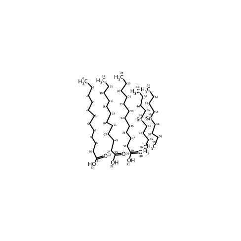 CCCCCCCCCCCC(=O)O.CCCCCCCCCCCC(=O)O.CCCCCCCCCCCC(=O)O.CCC[CH2][Sn][CH2]CCC.CCC[CH2][Sn][CH2]CCC